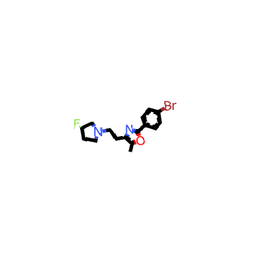 Cc1oc(-c2ccc(Br)cc2)nc1CCN1CC[C@H](F)C1